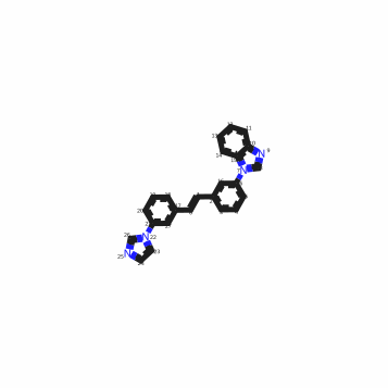 C(=C\c1cccc(-n2cnc3ccccc32)c1)/c1cccc(-n2ccnc2)c1